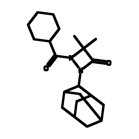 CC1(C)C(=O)N(C2C3CC4CC(C3)CC2C4)N1C(=O)C1CCCCC1